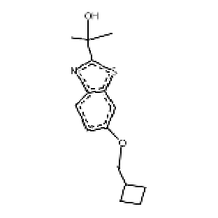 CC(C)(O)c1nc2ccc(OCC3CCC3)cc2s1